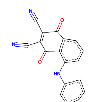 N#CC1=C(C#N)C(=O)c2c(Nc3ccccc3)cccc2C1=O